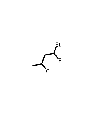 [CH2]C(Cl)CC(F)CC